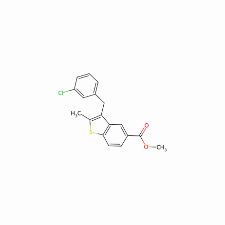 COC(=O)c1ccc2sc(C)c(Cc3cccc(Cl)c3)c2c1